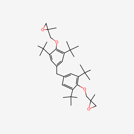 CC1(COc2c(C(C)(C)C)cc(Cc3cc(C(C)(C)C)c(OCC4(C)CO4)c(C(C)(C)C)c3)cc2C(C)(C)C)CO1